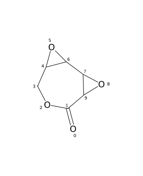 O=C1OCC2OC2C2OC12